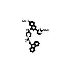 CNc1nccc(-c2cc(NC3CCN(C(=O)OCC4c5ccccc5-c5ccccc54)CC3)c3cc(OC)ccc3c2)n1